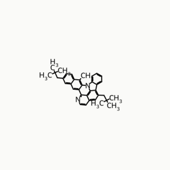 Cc1c2ccc(CC(C)(C)C)cc2cc2c3nccc4cc(CC(C)(C)C)c5c6ccccc6n(c12)c5c43